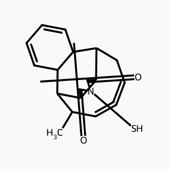 CC1C=C=CCC2C3C=CC=CC3C1C1C(=O)N(S)C(=O)C21